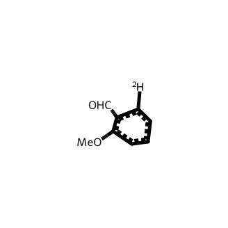 [2H]c1cccc(OC)c1C=O